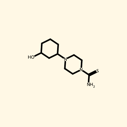 NC(=S)N1CCN(C2CCCC(O)C2)CC1